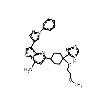 COCCOC1(c2nnc[nH]2)CCC(c2cc(N)n3ncc(-c4cnn(-c5ccccc5)c4)c3n2)CC1